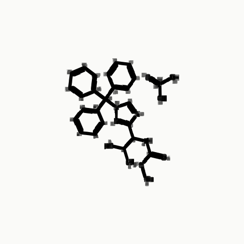 CC(O)C(NC(=O)OC(C)(C)C)c1ncn(C(c2ccccc2)(c2ccccc2)c2ccccc2)n1.O=[PH](O)O